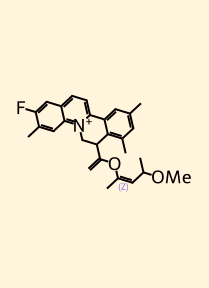 C=C(O/C(C)=C\C(C)OC)C1C[n+]2c(ccc3cc(F)c(C)cc32)-c2cc(C)cc(C)c21